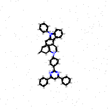 CC1C=c2cc3c(c4c2=C(C1)N(c1ccc(-c2nc(-c5ccccc5)cc(-c5ccccc5)n2)cc1)C=C4)c1ccccc1n3-c1ccccc1